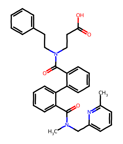 Cc1cccc(CN(C)C(=O)c2ccccc2-c2ccccc2C(=O)N(CCC(=O)O)CCc2ccccc2)n1